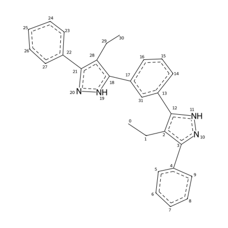 CCc1c(-c2ccccc2)n[nH]c1-c1cccc(-c2[nH]nc(-c3ccccc3)c2CC)c1